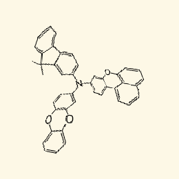 CC1(C)c2ccccc2-c2ccc(N(c3ccc4c(c3)Oc3ccccc3O4)c3ccc4c(c3)Oc3cccc5cccc-4c35)cc21